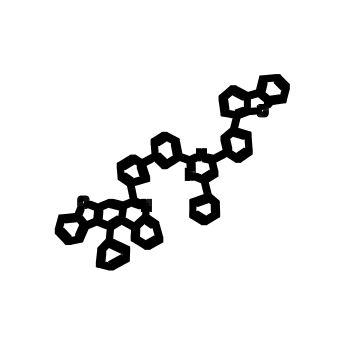 c1ccc(-c2cc(-c3cccc(-c4cccc5c4oc4ccccc45)c3)nc(-c3cccc(-c4cccc(-c5nc6ccccc6c6c(-c7ccccc7)c7c(cc56)oc5ccccc57)c4)c3)n2)cc1